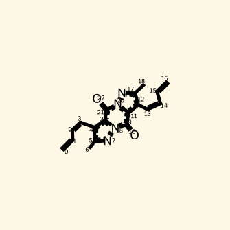 C=C/C=C\c1c(C)nn2c(=O)c3c(/C=C\C=C)c(C)nn3c(=O)c12